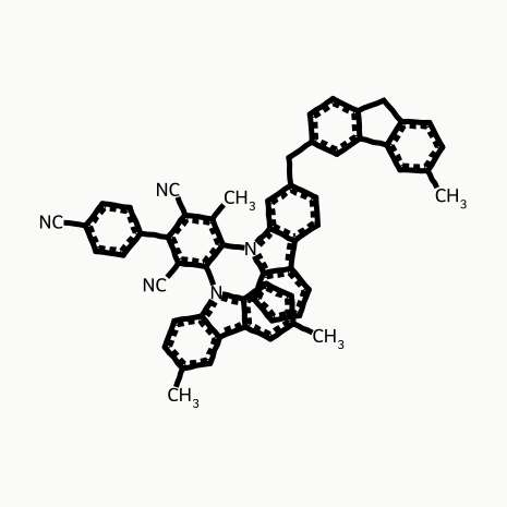 Cc1ccc2c(c1)-c1cc(Cc3ccc4c5ccccc5n(-c5c(C)c(C#N)c(-c6ccc(C#N)cc6)c(C#N)c5-n5c6ccc(C)cc6c6cc(C)ccc65)c4c3)ccc1C2